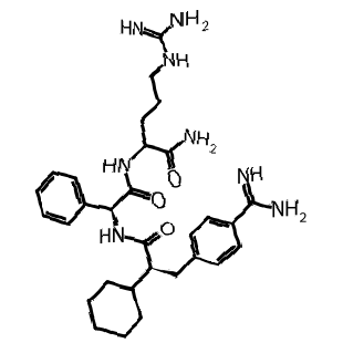 N=C(N)NCCCC(NC(=O)[C@@H](NC(=O)[C@@H](Cc1ccc(C(=N)N)cc1)C1CCCCC1)c1ccccc1)C(N)=O